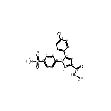 CC(C)NC(=O)c1cc(-c2ccc(Cl)cc2)n(-c2ccc(S(N)(=O)=O)cc2)n1